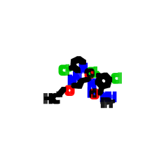 C#CCOc1cc(C(=O)Nc2c(Cl)cc(Cl)cc2C(=O)NC(C)C)n(-c2ncccc2Cl)n1